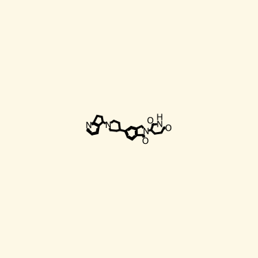 O=C1CCC(N2Cc3cc(C4CCN(C5CCc6ncccc65)CC4)ccc3C2=O)C(=O)N1